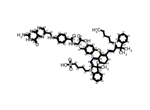 CCCCC[N+]1=C(/C=C/C2=C(Oc3ccc(C[C@H](NC(=O)c4ccc(NCc5cnc6nc(N)[nH]c(=O)c6n5)cc4)C(=O)O)cc3)C(=C/C=C3/N(CCCCS(=O)(=O)O)c4ccccc4C3(C)C)/CCC2)C(C)(C)c2ccccc21